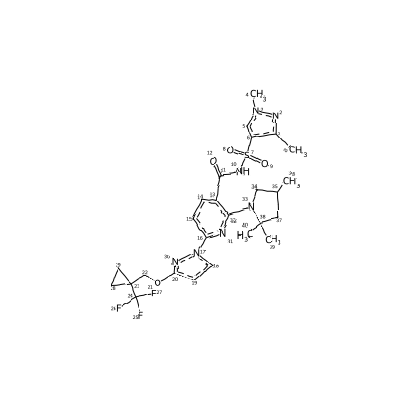 Cc1nn(C)cc1S(=O)(=O)NC(=O)c1ccc(-n2ccc(OCC3(C(F)(F)F)CC3)n2)nc1N1CC(C)CC1(C)C